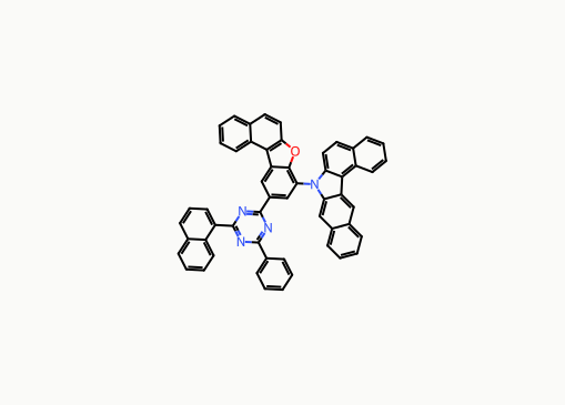 c1ccc(-c2nc(-c3cc(-n4c5cc6ccccc6cc5c5c6ccccc6ccc54)c4oc5ccc6ccccc6c5c4c3)nc(-c3cccc4ccccc34)n2)cc1